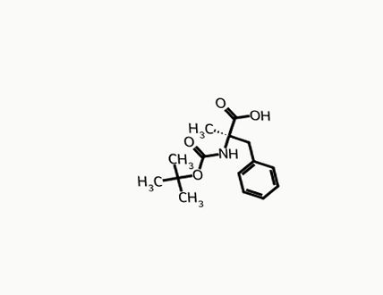 CC(C)(C)OC(=O)N[C@](C)(Cc1ccccc1)C(=O)O